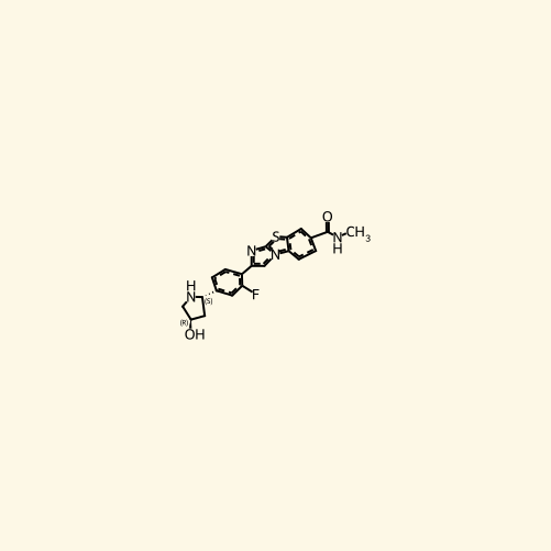 CNC(=O)c1ccc2c(c1)sc1nc(-c3ccc([C@@H]4C[C@@H](O)CN4)cc3F)cn12